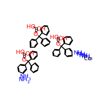 N.N.N.N.N.N.OB(O)OC(c1ccccc1)(c1ccccc1)c1ccccc1.OB(O)OC(c1ccccc1)(c1ccccc1)c1ccccc1.OB(O)OC(c1ccccc1)(c1ccccc1)c1ccccc1.[Co]